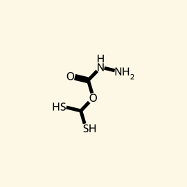 NNC(=O)OC(S)S